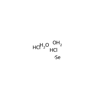 Cl.Cl.O.O.[Se]